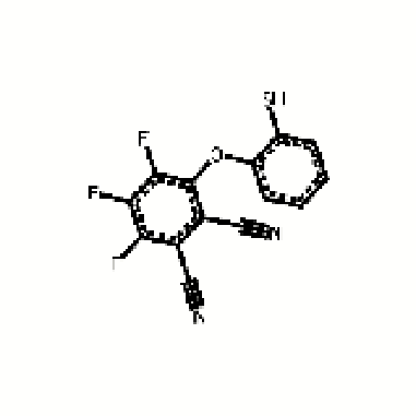 N#Cc1c(F)c(F)c(F)c(Oc2ccccc2S)c1C#N